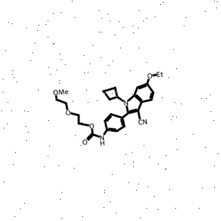 CCOc1ccc2c(C#N)c(-c3ccc(NC(=O)OCCOCCOC)cc3)n(C3CCC3)c2c1